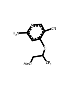 COCC(Oc1cc(N)ncc1C#N)C(F)(F)F